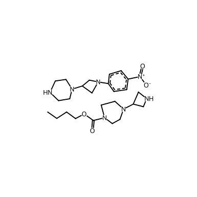 CCCCOC(=O)N1CCN(C2CNC2)CC1.O=[N+]([O-])c1ccc(N2CC(N3CCNCC3)C2)cc1